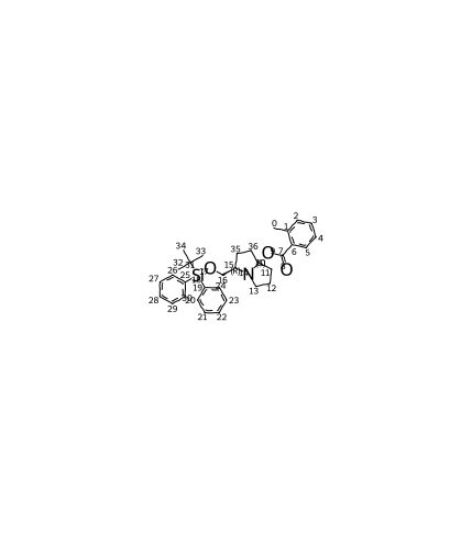 Cc1ccccc1C(=O)O[C@]12CCCN1[C@@H](CO[Si](c1ccccc1)(c1ccccc1)C(C)(C)C)CC2